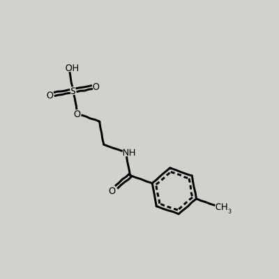 Cc1ccc(C(=O)NCCOS(=O)(=O)O)cc1